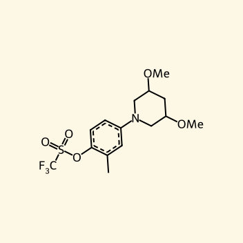 COC1CC(OC)CN(c2ccc(OS(=O)(=O)C(F)(F)F)c(C)c2)C1